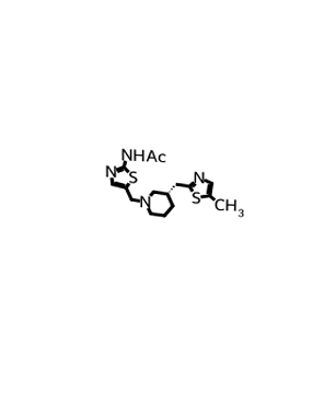 CC(=O)Nc1ncc(CN2CCC[C@@H](Cc3ncc(C)s3)C2)s1